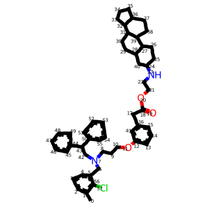 Cc1cccc(CN(CCCOc2cccc(CC(=O)OCCNC3CCC4C(CCC5C6CCCC6CCC45)C3)c2)CC(c2ccccc2)c2ccccc2)c1Cl